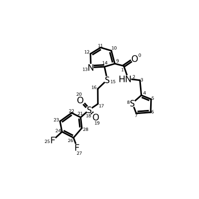 O=C(NCc1cccs1)c1cccnc1SCCS(=O)(=O)c1ccc(F)c(F)c1